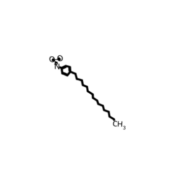 CCCCCCCCCCCCCCCCc1ccc(N=S(=O)=O)cc1